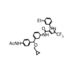 CCc1cccc(-n2nc(C(F)(F)F)cc2C(=O)NC2C=CC=C(C(OCC3CC3)c3ccc(NC(C)=O)cc3)C2)c1